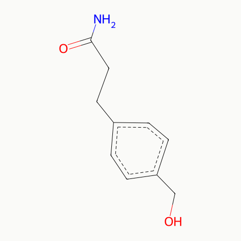 NC(=O)CCc1ccc(CO)cc1